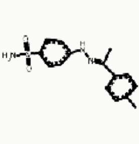 C/C(=N\Nc1ccc(S(N)(=O)=O)cc1)c1ccc(C)cc1